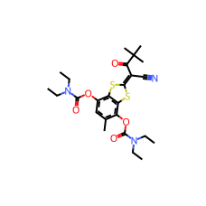 CCN(CC)C(=O)Oc1cc(C)c(OC(=O)N(CC)CC)c2c1S/C(=C(/C#N)C(=O)C(C)(C)C)S2